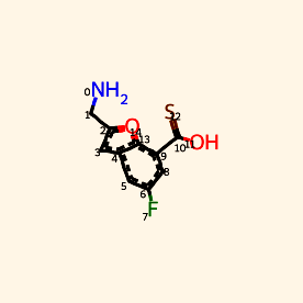 NCc1cc2cc(F)cc(C(O)=S)c2o1